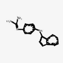 NC(N)=Nc1ccc(NC2C=Cc3ccccc32)cc1